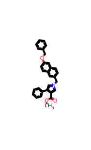 COC(=O)c1cn(Cc2ccc3cc(OCc4ccccc4)ccc3c2)cc1-c1ccccc1